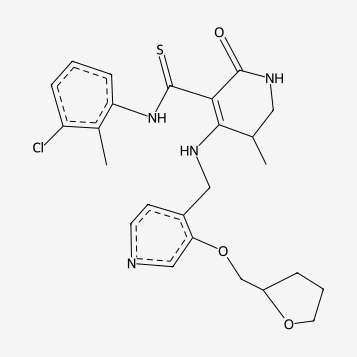 Cc1c(Cl)cccc1NC(=S)C1=C(NCc2ccncc2OCC2CCCO2)C(C)CNC1=O